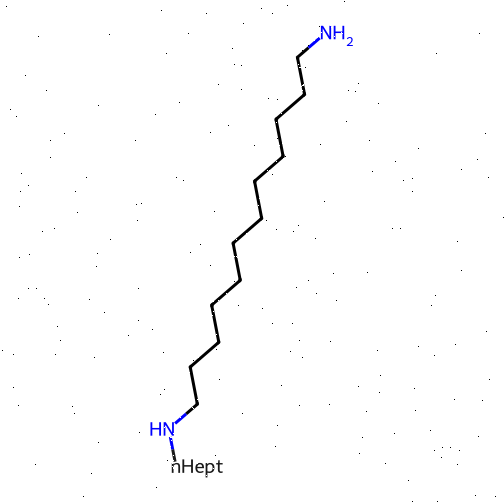 CCCCCCCNCCCCCCCCCCCCN